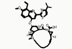 CCc1c(OC)ccc2c(O[C@@H]3C[C@H]4C(=O)N[C@]5(C(=O)O)C[C@H]5/C=C\CCCCN(C)C(=O)[C@@H]4C3)cc(-c3nc(C(C)C)cs3)nc12